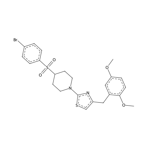 COc1ccc(OC)c(Cc2csc(N3CCC(S(=O)(=O)c4ccc(Br)cc4)CC3)n2)c1